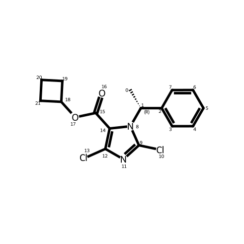 C[C@H](c1ccccc1)n1c(Cl)nc(Cl)c1C(=O)OC1CCC1